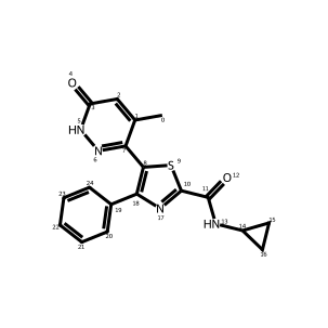 Cc1cc(=O)[nH]nc1-c1sc(C(=O)NC2CC2)nc1-c1ccccc1